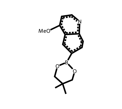 COc1ccnc2ccc(B3OCC(C)(C)CO3)cc12